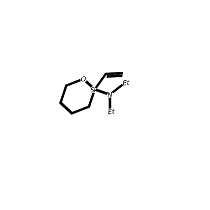 C=C[Si]1(N(CC)CC)CCCCO1